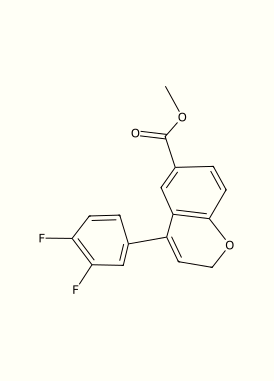 COC(=O)c1ccc2c(c1)C(c1ccc(F)c(F)c1)=CCO2